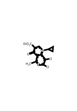 CCOC(=O)c1cn(C2CC2)c2c(Cl)c(Cl)nc(C)c2c1=O